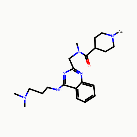 CC(=O)N1CCC(C(=O)N(C)Cc2nc(NCCCN(C)C)c3ccccc3n2)CC1